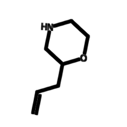 C=CCC1CNCCO1